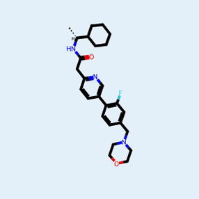 C[C@@H](NC(=O)Cc1ccc(-c2ccc(CN3CCOCC3)cc2F)cn1)C1CCCCC1